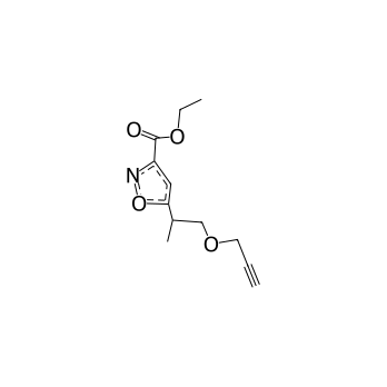 C#CCOCC(C)c1cc(C(=O)OCC)no1